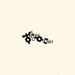 C#CC(C)(c1ccc(C)cc1)c1csc(NC(=O)c2ccc(N3CCNCC3)cc2)n1